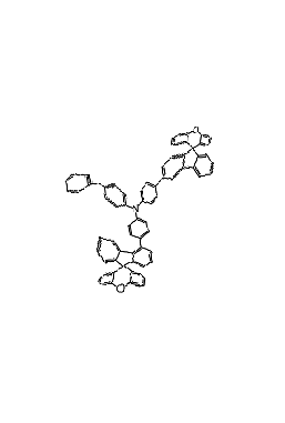 c1ccc(-c2ccc(N(c3ccc(-c4ccc5c(c4)-c4ccccc4C54c5ccccc5Oc5ccccc54)cc3)c3ccc(-c4cccc5c4-c4ccccc4C54c5ccccc5Oc5ccccc54)cc3)cc2)cc1